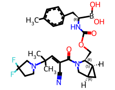 Cc1ccc(C[C@H](NC(=O)OC[C@H]2[C@H]3C[C@H]3CN2C(=O)C(C#N)=CC(C)(C)N2CCC(F)(F)C2)B(O)O)cc1